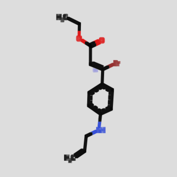 C=CCNc1ccc(/C(Br)=C/C(=O)OCC)cc1